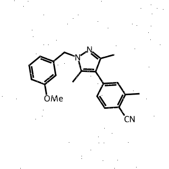 COc1cccc(Cn2nc(C)c(-c3ccc(C#N)c(C)c3)c2C)c1